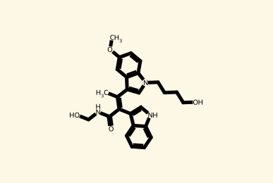 COc1ccc2c(c1)c(/C(C)=C(/C(=O)NCO)c1c[nH]c3ccccc13)cn2CCCCO